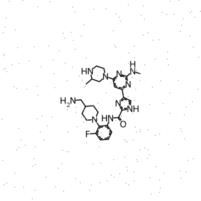 CNc1nc(-c2c[nH]c(C(=O)Nc3cccc(F)c3N3CCC(CN)CC3)n2)cc(N2CCNC(C)C2)n1